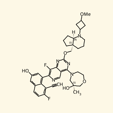 C#Cc1c(F)ccc2cc(O)cc(-c3ncc4c(N5CCOC[C@@](C)(O)C5)nc(OC[C@]56CCC[C@H]5N(C5CC(OC)C5)CCC6)nc4c3F)c12